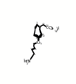 NCCCCOc1cccc(CC(=O)O)c1